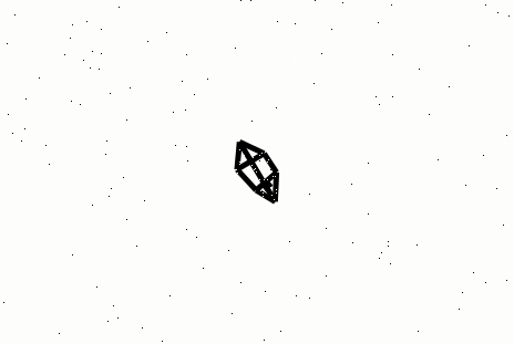 C12=C3C1C1C2C31